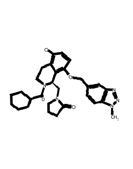 Cn1nnc2cc(COc3ccc(Cl)c4c3[C@@H](CN3CCCC3=O)N(C(=O)C3CCCCC3)CC4)ccc21